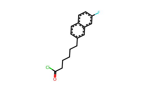 O=C(Cl)CCCCCc1ccc2ccc(F)cc2c1